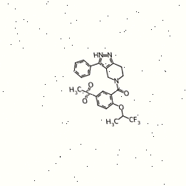 CC(Oc1ccc(S(C)(=O)=O)cc1C(=O)N1CCc2n[nH]c(-c3ccccc3)c2C1)C(F)(F)F